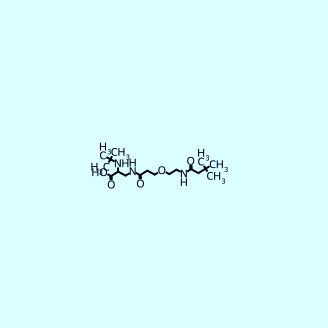 CC(C)(C)CC(=O)NCCOCCC(=O)NCC(NC(C)(C)C)C(=O)O